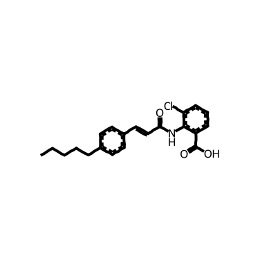 CCCCCc1ccc(C=CC(=O)Nc2c(Cl)cccc2C(=O)O)cc1